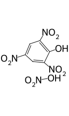 O=[N+]([O-])O.O=[N+]([O-])c1cc([N+](=O)[O-])c(O)c([N+](=O)[O-])c1